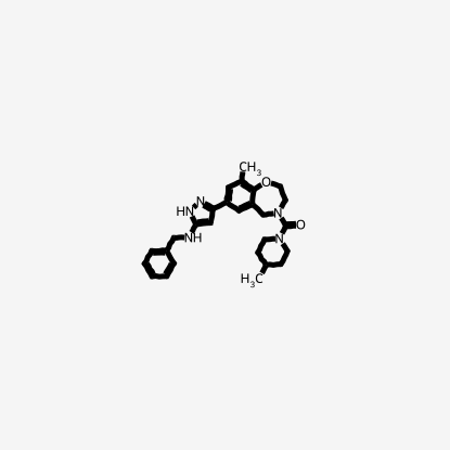 Cc1cc(-c2cc(NCc3ccccc3)[nH]n2)cc2c1OCCN(C(=O)N1CCC(C)CC1)C2